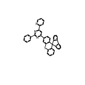 c1ccc(-c2nc(-c3ccc4c(c3)Sc3ccccc3C43c4ccccc4-c4ccccc43)cc(-c3ccccn3)n2)cc1